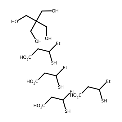 CCC(S)CC(=O)O.CCC(S)CC(=O)O.CCC(S)CC(=O)O.CCC(S)CC(=O)O.OCC(CO)(CO)CO